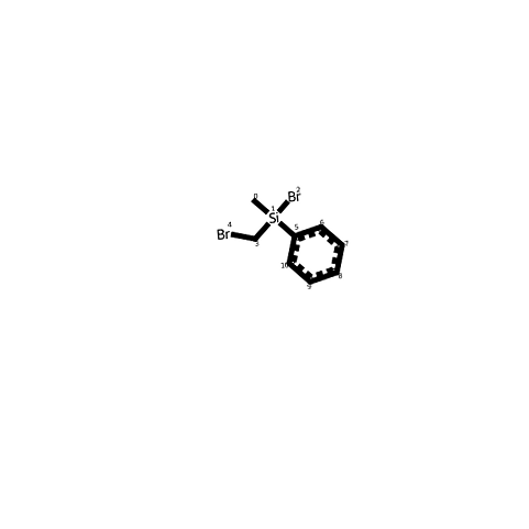 C[Si](Br)(CBr)c1ccccc1